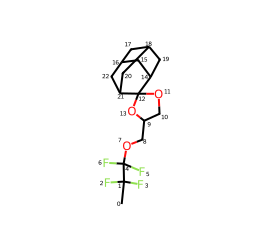 CC(F)(F)C(F)(F)OCC1COC2(O1)C1CC3CC(C1)CC2C3